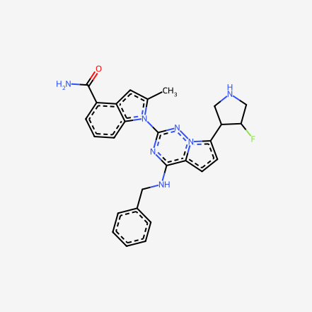 Cc1cc2c(C(N)=O)cccc2n1-c1nc(NCc2ccccc2)c2ccc(C3CNCC3F)n2n1